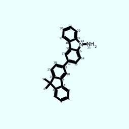 CC1(C)c2ccccc2-c2cc(-c3ccc4c(c3)c3ccccc3n4N)ccc21